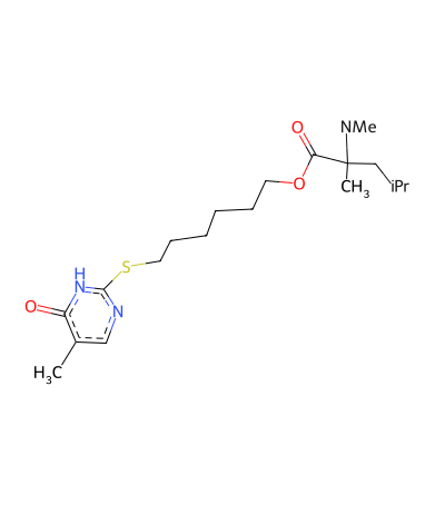 CNC(C)(CC(C)C)C(=O)OCCCCCCSc1ncc(C)c(=O)[nH]1